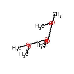 CCCCCCCOC(CCCCCCCCCCCCCC(OCCC)OC(CCCCCCCCCCCCCC(OCCCCCCC)OCCCCCCC)OCCC)OCCCCCCC